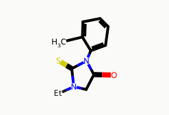 CCN1CC(=O)N(c2ccccc2C)C1=S